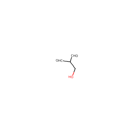 O=CC(C=O)CO